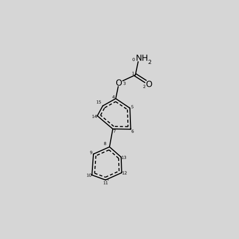 NC(=O)Oc1ccc(-c2cc[c]cc2)cc1